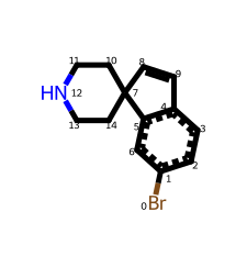 Brc1ccc2c(c1)C1(C=C2)CCNCC1